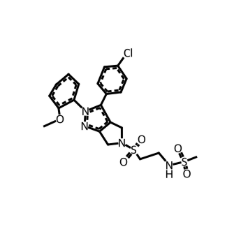 COc1ccccc1-n1nc2c(c1-c1ccc(Cl)cc1)CN(S(=O)(=O)CCNS(C)(=O)=O)C2